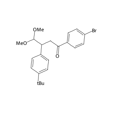 COC(OC)C(CC(=O)c1ccc(Br)cc1)c1ccc(C(C)(C)C)cc1